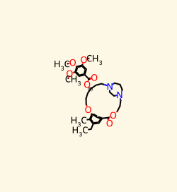 CCc1cc2cc(c1C)OCCC[C@@H](OC(=O)c1cc(OC)c(OC)c(OC)c1)CCN1CCCN(CCCOC2=O)CC1